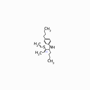 C=CS/C(=C\C)C(CCCC)Nc1ccc(CCCC)cc1